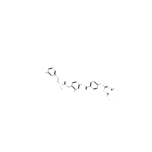 CC(C)(C)OC(=O)/N=C(\NC(=O)OC(C)(C)C)Nc1ccc(C(=O)Oc2ccc(CC(=O)N(N)[C@@H](Cc3cccc(F)c3)C(=O)O)c(Cl)c2)cc1